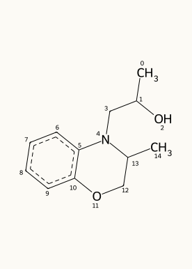 CC(O)CN1c2ccccc2OCC1C